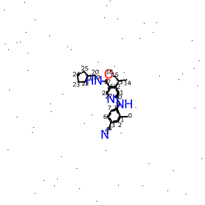 Cc1cc(C#N)ccc1Nc1cc(C(C)C)c(C(=O)NCC2CCCC2)cn1